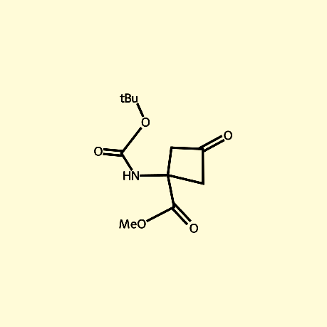 COC(=O)C1(NC(=O)OC(C)(C)C)CC(=O)C1